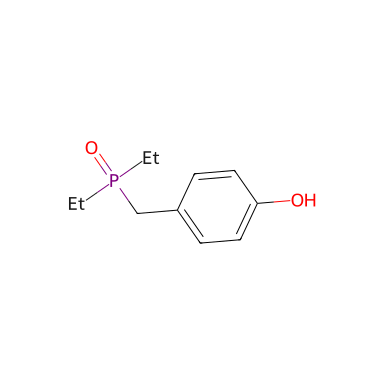 CCP(=O)(CC)Cc1ccc(O)cc1